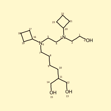 OCCN(CCN(CCCCC(CO)CO)C1CCC1)C1CCC1